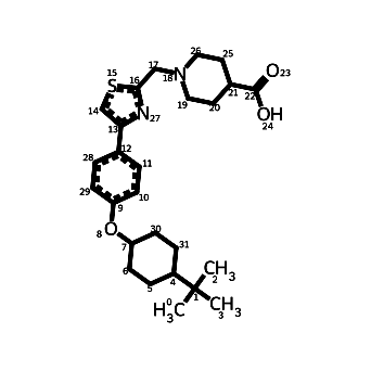 CC(C)(C)C1CCC(Oc2ccc(-c3csc(CN4CCC(C(=O)O)CC4)n3)cc2)CC1